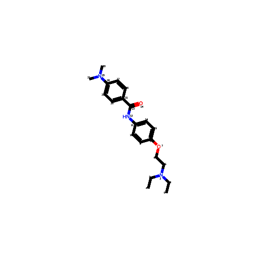 CCN(CC)CCOc1ccc(NC(=O)c2ccc(N(C)C)cc2)cc1